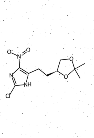 CC1(C)OC[C@H](CCc2[nH]c(Cl)nc2[N+](=O)[O-])O1